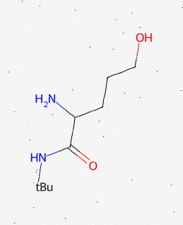 CC(C)(C)NC(=O)C(N)CCCO